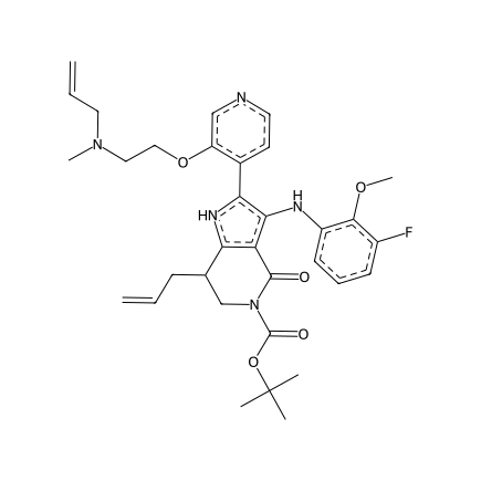 C=CCC1CN(C(=O)OC(C)(C)C)C(=O)c2c1[nH]c(-c1ccncc1OCCN(C)CC=C)c2Nc1cccc(F)c1OC